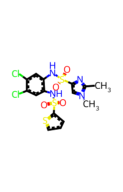 Cc1nc(S(=O)(=O)Nc2cc(Cl)c(Cl)cc2NS(=O)(=O)c2cccs2)cn1C